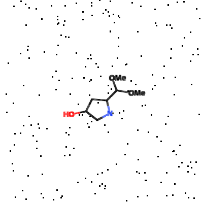 COC(OC)C1CC(O)C[N]1